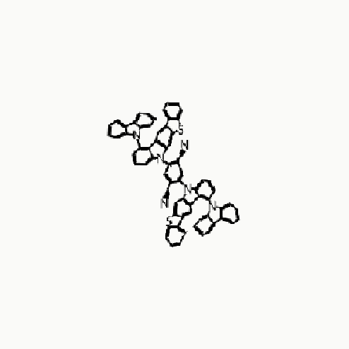 N#Cc1cc(-n2c3cc4sc5ccccc5c4cc3c3c(-n4c5ccccc5c5ccccc54)cccc32)c(C#N)cc1-n1c2cc3sc4ccccc4c3cc2c2c(-n3c4ccccc4c4ccccc43)cccc21